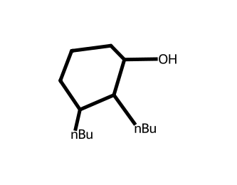 CCCCC1CCCC(O)C1CCCC